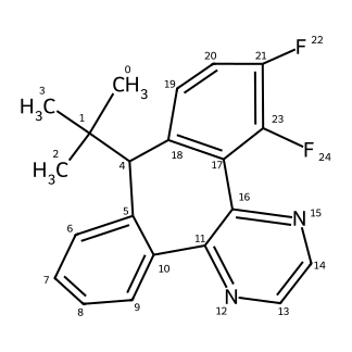 CC(C)(C)C1c2ccccc2-c2nccnc2-c2c1ccc(F)c2F